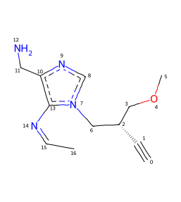 C#C[C@@H](COC)Cn1cnc(CN)c1/N=C\C